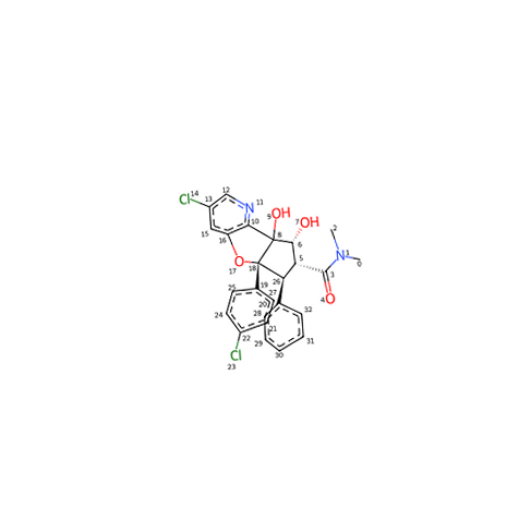 CN(C)C(=O)[C@H]1[C@@H](O)C2(O)c3ncc(Cl)cc3O[C@@]2(c2ccc(Cl)cc2)[C@@H]1c1ccccc1